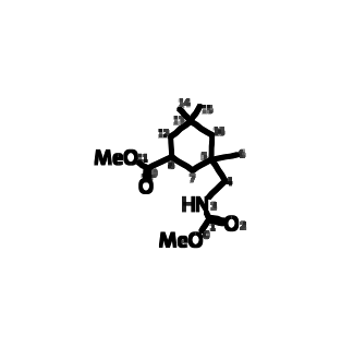 COC(=O)NCC1(C)CC(C(=O)OC)CC(C)(C)C1